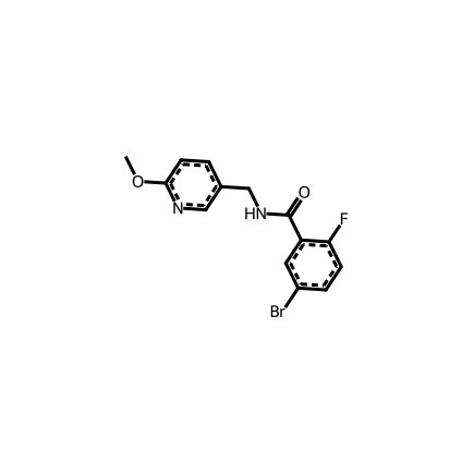 COc1ccc(CNC(=O)c2cc(Br)ccc2F)cn1